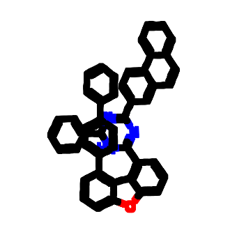 c1ccc(-c2ccc(-c3cccc4oc5cccc(C6=NC(c7ccc8c(ccc9ccccc98)c7)=NC(c7ccccc7)N6)c5c34)cc2)cc1